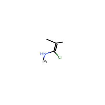 CC(C)=C(Cl)NC(C)C